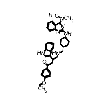 CCOc1ccc(C(=O)CC(CNC[C@H]2CC[C@@H](Nc3nc(N(C)C)c4ccccc4n3)CC2)c2c[nH]c3ccccc23)cc1